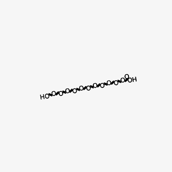 O=C(O)COCCOCCOCCOCCOCCOCCOCCOCCOCCOCCOCCO